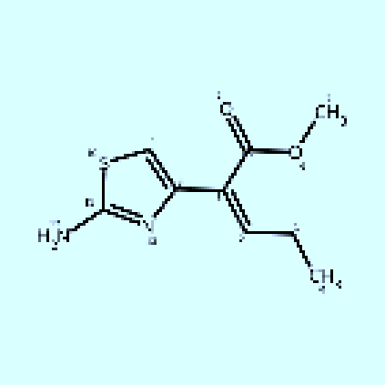 CCC=C(C(=O)OC)c1csc(N)n1